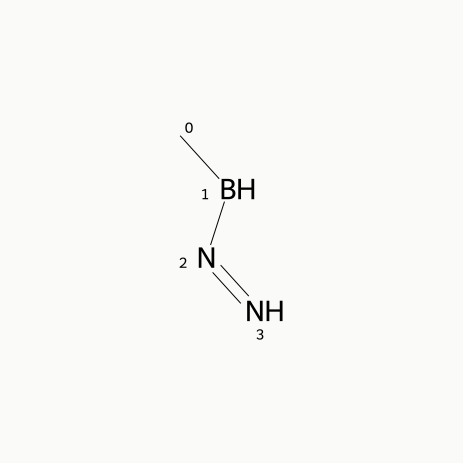 CBN=N